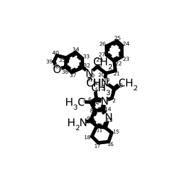 C=C(Cn1c(C)c(C)c2c(N)c3c(nc21)CCCC3)NC(Cc1ccccc1)C(=C)N(C)c1ccc2c(c1)OCC2